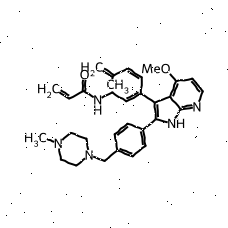 C=CC(=O)NC/C=C(\C=C/C(=C)C)c1c(-c2ccc(CN3CCN(C)CC3)cc2)[nH]c2nccc(OC)c12